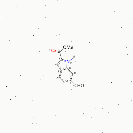 COC(=O)c1cc2ccc(C=O)cc2n1C